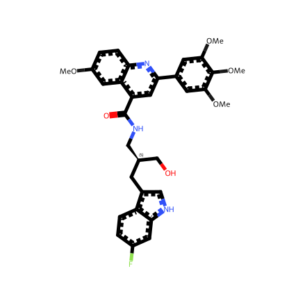 COc1ccc2nc(-c3cc(OC)c(OC)c(OC)c3)cc(C(=O)NC[C@@H](CO)Cc3c[nH]c4cc(F)ccc34)c2c1